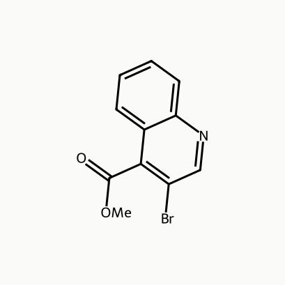 COC(=O)c1c(Br)cnc2ccccc12